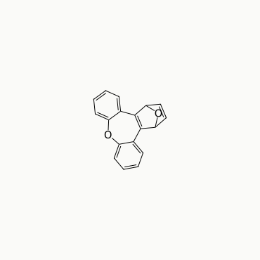 C1=CC2OC1C1=C2c2ccccc2Oc2ccccc21